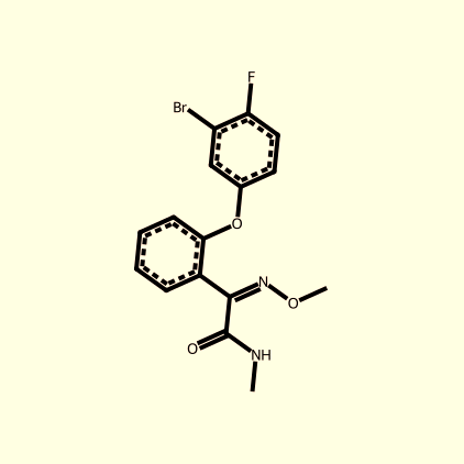 CNC(=O)/C(=N\OC)c1ccccc1Oc1ccc(F)c(Br)c1